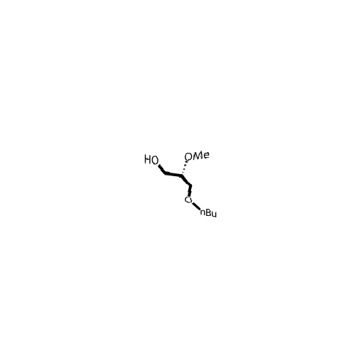 CCCCOC[C@H](CO)OC